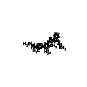 CCCCNC(=O)[C@H](C)C[C@H](O)[C@@H](N)C[C@@H](CNC(=O)c1cn(CCOC)c2ccccc12)C(C)C